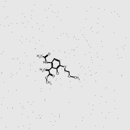 C=C(C(=O)OC)c1c(NC(C)=O)ccc(OCCOC)c1Cl